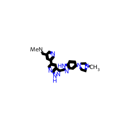 CNCc1cncc(-c2cnc3[nH]nc(-c4nc5cc(N6CCN(C)CC6)ccc5[nH]4)c3c2)c1